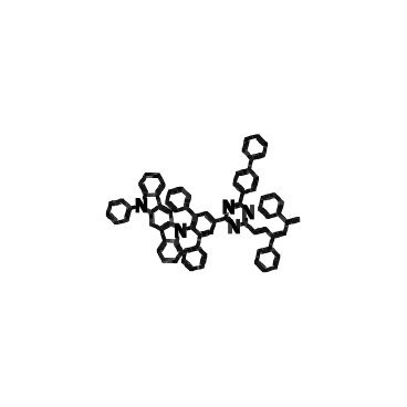 C=C(/C=C(\C=C\c1nc(-c2ccc(-c3ccccc3)cc2)nc(-c2cc(-c3ccccc3)c(-n3c4ccccc4c4cc5c(cc43)c3ccccc3n5-c3ccccc3)c(-c3ccccc3)c2)n1)c1ccccc1)c1ccccc1